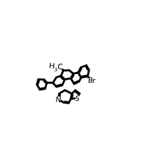 C1=Cc2sccc2CC=N1.CC1Cc2c(ccc3c(Br)cccc23)C2=C1CC(c1ccccc1)C=C2